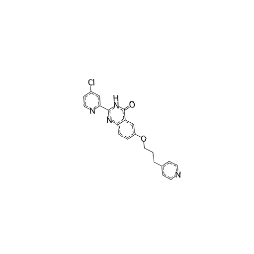 O=c1[nH]c(-c2cc(Cl)ccn2)nc2ccc(OCCCc3ccncc3)cc12